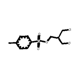 Cc1ccc(S(=O)(=O)OCC(CCl)CCl)cc1